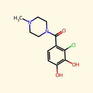 CN1CCN(C(=O)c2ccc(O)c(O)c2Cl)CC1